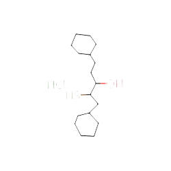 Cl.OC(CCC1CCCCC1)C(S)CC1CCCCC1